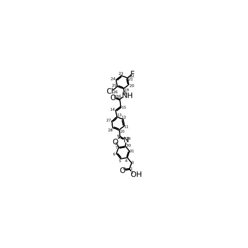 O=C(O)Cc1ccc2oc(-c3ccc(C=CC(=O)Nc4cc(F)ccc4Cl)cc3)nc2c1